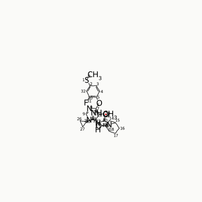 CSc1ccc(Oc2ncnc(O[C@H]3CC4CCC3N4C(=O)NC(=N)C3CC3)c2C)c(F)c1